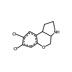 Clc1cc2c(cc1Cl)C1CCNC1CO2